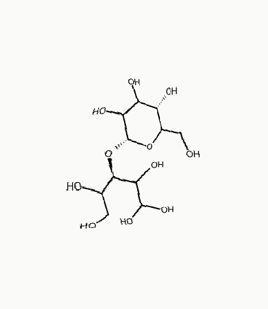 OCC1O[C@H](O[C@H](C(O)CO)C(O)C(O)O)C(O)C(O)[C@@H]1O